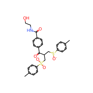 Cc1ccc([S+]([O-])CC(CS(=O)(=O)c2ccc(C)cc2)C(=O)c2ccc(C(=O)NCCO)cc2)cc1